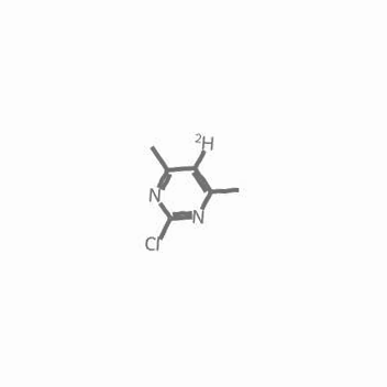 [2H]c1c(C)nc(Cl)nc1C